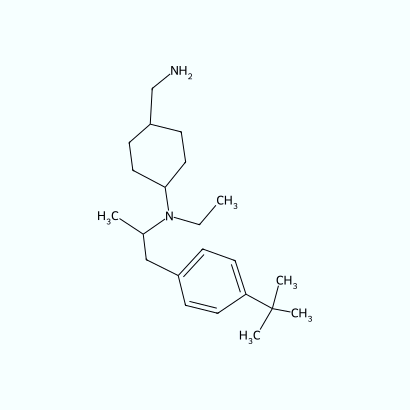 CCN(C(C)Cc1ccc(C(C)(C)C)cc1)C1CCC(CN)CC1